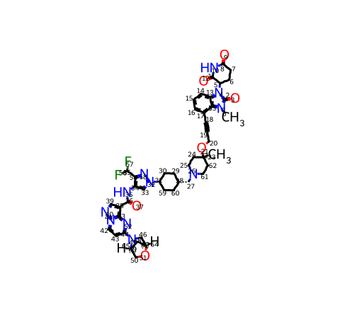 Cn1c(=O)n(C2CCC(=O)NC2=O)c2cccc(C#CCOC3(C)CCN(C[C@H]4CC[C@H](n5cc(NC(=O)c6cnn7ccc(N8C[C@H]9C[C@@H]8CO9)nc67)c(C(F)F)n5)CC4)CC3)c21